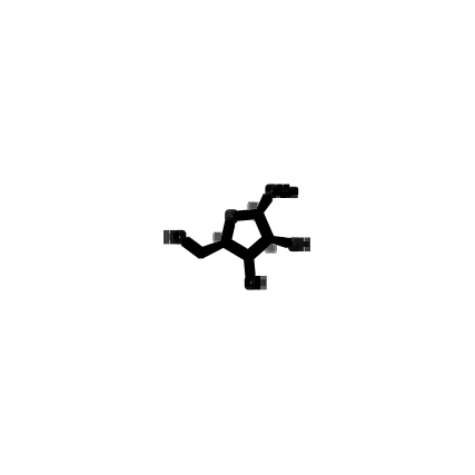 CO[C@@H]1O[C@H](CO)C(O)[C@@H]1O